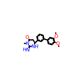 COc1ccc(-c2cccc([C@]3(C)CC(=O)N(C)C(=N)N3)c2)cc1OC